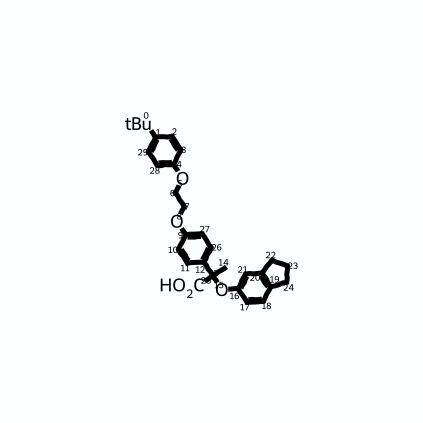 CC(C)(C)c1ccc(OCCOc2ccc(C(C)(Oc3ccc4c(c3)CCC4)C(=O)O)cc2)cc1